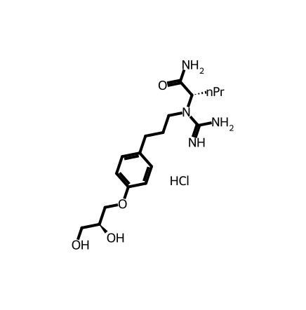 CCC[C@@H](C(N)=O)N(CCCc1ccc(OC[C@@H](O)CO)cc1)C(=N)N.Cl